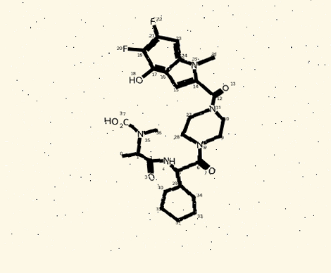 CC(C(=O)NC(C(=O)N1CCN(C(=O)c2cc3c(O)c(F)c(F)cc3n2C)CC1)C1CCCCC1)N(C)C(=O)O